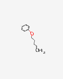 C=CCCCOc1cc[c]cc1